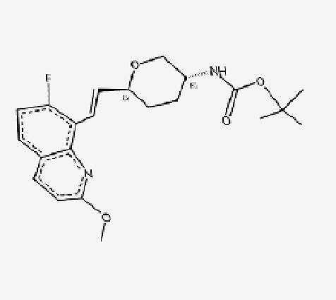 COc1ccc2ccc(F)c(C=C[C@@H]3CC[C@@H](NC(=O)OC(C)(C)C)CO3)c2n1